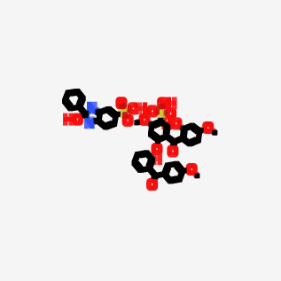 COc1ccc(C(=O)c2cc(S(=O)(=O)O)c(OC)cc2O)c(O)c1.COc1ccc(C(=O)c2ccccc2)cc1.O=S(=O)(O)c1ccc2c(c1)=NC(O)(c1ccccc1)N=2